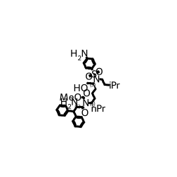 CCC[C@@H](CCC[C@@H](CO)N(CCC(C)C)S(=O)(=O)c1ccc(N)cc1)N(C(=O)OC)C(=O)[C@@H](N)C(c1ccccc1)c1ccccc1